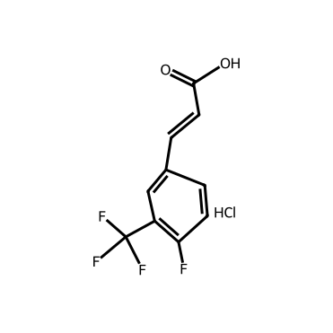 Cl.O=C(O)C=Cc1ccc(F)c(C(F)(F)F)c1